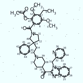 CCc1c(OC)cc(C(=O)N2CCC(CCN3CCC(C(=O)c4nc5ccccc5n4Cc4ccccn4)CC3)(c3ccccc3)C2)c(OC(C)=O)c1OC